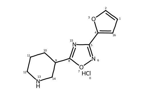 Cl.c1coc(-c2noc(C3CCCNC3)n2)c1